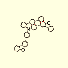 c1ccc(-c2ccc(-c3ccccc3N(c3ccc(-c4ccc5oc6ccccc6c5c4)cc3)c3ccc(-c4ccc5oc6ccccc6c5c4)cc3)cc2)cc1